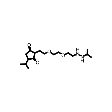 CC(C)NNCCOCCOCCC1C(=O)CC(C(C)C)C1=O